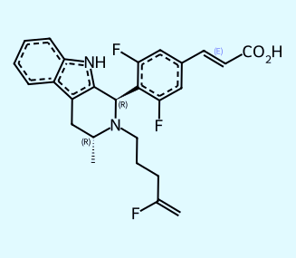 C=C(F)CCCN1[C@H](c2c(F)cc(/C=C/C(=O)O)cc2F)c2[nH]c3ccccc3c2C[C@H]1C